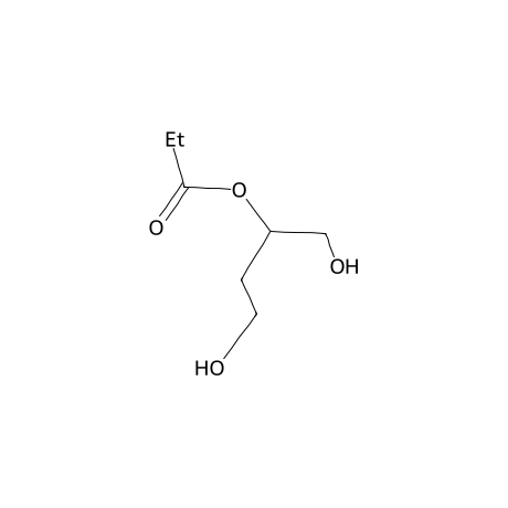 CCC(=O)OC(CO)CCO